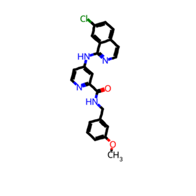 COc1cccc(CNC(=O)c2cc(Nc3nccc4ccc(Cl)cc34)ccn2)c1